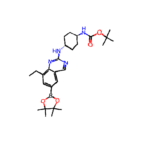 CCc1cc(B2OC(C)(C)C(C)(C)O2)cc2cnc(N[C@H]3CC[C@H](NC(=O)OC(C)(C)C)CC3)nc12